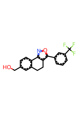 OCc1ccc2c(c1)CCc1c-2noc1-c1cccc(C(F)(F)F)c1